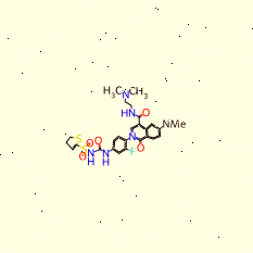 CNc1ccc2c(=O)n(-c3ccc(NC(=O)NS(=O)(=O)C4=CCCS4)cc3F)cc(C(=O)NCCN(C)C)c2c1